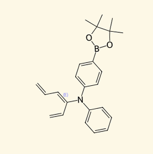 C=C/C=C(\C=C)N(c1ccccc1)c1ccc(B2OC(C)(C)C(C)(C)O2)cc1